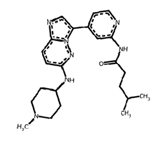 CC(C)CCC(=O)Nc1cc(-c2cnc3ccc(NC4CCN(C)CC4)nn23)ccn1